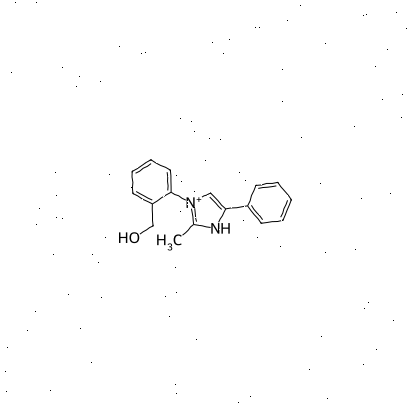 Cc1[nH]c(-c2ccccc2)c[n+]1-c1ccccc1CO